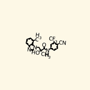 Cc1cccc2ncn(C[C@](C)(O)C(=O)Nc3ccc(C#N)c(C(F)(F)F)c3)c12